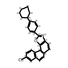 Clc1ccc2c(ccc3ccc4nc(-c5ccc(C6CCCCC6)cc5)oc4c32)c1